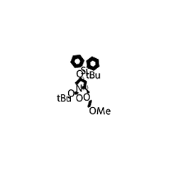 COCCOC[C@@H]1C[C@H](O[Si](c2ccccc2)(c2ccccc2)C(C)(C)C)CN1C(=O)OC(C)(C)C